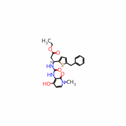 CCOC(=O)C[C@H](NC(=O)Nc1c(O)ccn(C)c1=O)c1ccc(Cc2ccccc2)s1